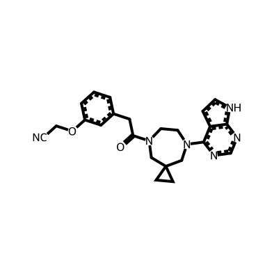 N#CCOc1cccc(CC(=O)N2CCN(c3ncnc4[nH]ccc34)CC3(CC3)C2)c1